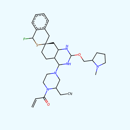 C=CC(=O)N1CCN(C2NC(OCC3CCCN3C)NC3C[C@]4(CCC32)Cc2ccccc2C(F)S4)CC1CC#N